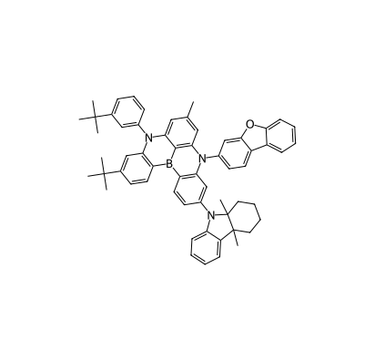 Cc1cc2c3c(c1)N(c1cccc(C(C)(C)C)c1)c1cc(C(C)(C)C)ccc1B3c1ccc(N3c4ccccc4C4(C)CCCCC34C)cc1N2c1ccc2c(c1)oc1ccccc12